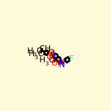 CC(O)[C@]12Cc3cnn(-c4ccc(F)cc4)c3C=C1CCN(S(=O)(=O)c1ccc(C(C)(C)C)cc1)C2